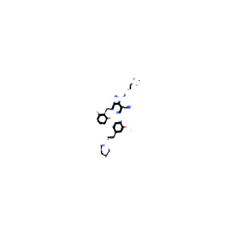 COc1cc(CC(=O)N2CCCC2)ccc1Nc1nc(Cc2c(Cl)cccc2Cl)c2ncn(COCC[Si](C)(C)C)c2c1C#N